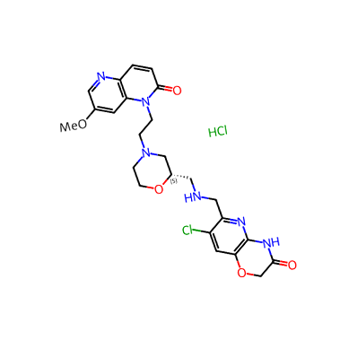 COc1cnc2ccc(=O)n(CCN3CCO[C@@H](CNCc4nc5c(cc4Cl)OCC(=O)N5)C3)c2c1.Cl